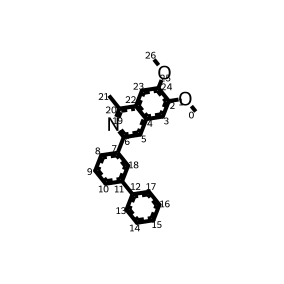 COc1cc2cc(-c3cccc(-c4ccccc4)c3)nc(C)c2cc1OC